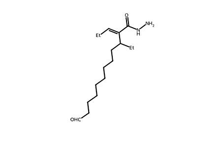 CCC=C(C(=O)NN)C(CC)CCCCCCCCC=O